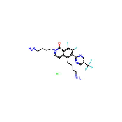 Cl.NCCCCc1c(-c2ncc(C(F)(F)F)cn2)c(F)c(F)c2c(=O)n(CCCCN)ccc12